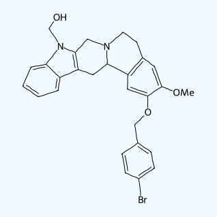 COc1cc2c(cc1OCc1ccc(Br)cc1)C1Cc3c(n(CO)c4ccccc34)CN1CC2